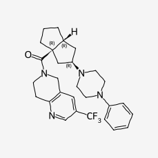 O=C(N1CCc2ncc(C(F)(F)F)cc2C1)[C@@]12CCC[C@@H]1C[C@@H](N1CCN(c3ccccc3)CC1)C2